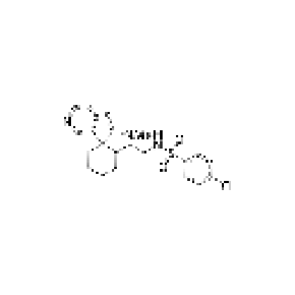 CNC(=S)C1(c2cccnc2)CCCCC1CCNS(=O)(=O)c1ccc(Cl)cc1